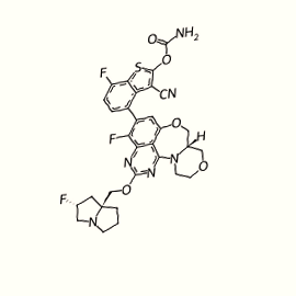 N#Cc1c(OC(N)=O)sc2c(F)ccc(-c3cc4c5c(nc(OC[C@@]67CCCN6C[C@H](F)C7)nc5c3F)N3CCOC[C@H]3CO4)c12